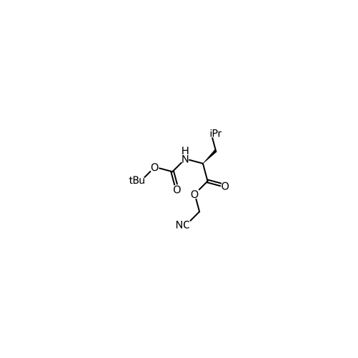 CC(C)C[C@H](NC(=O)OC(C)(C)C)C(=O)OCC#N